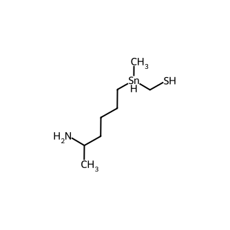 CC(N)CCC[CH2][SnH]([CH3])[CH2]S